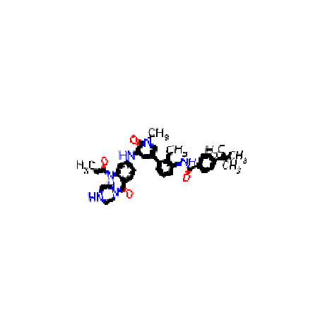 CCC(=O)Nc1cc(Nc2cc(-c3cccc(NC(=O)c4ccc(C(C)(C)C)cc4)c3C)cn(C)c2=O)ccc1C(=O)N1CCNCC1